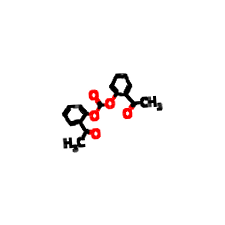 CC(=O)c1ccccc1OC(=O)Oc1ccccc1C(C)=O